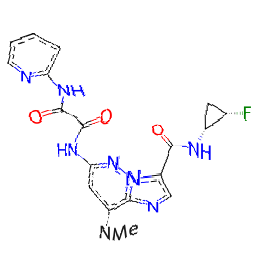 CNc1cc(NC(=O)C(=O)Nc2ccccn2)nn2c(C(=O)N[C@@H]3C[C@@H]3F)cnc12